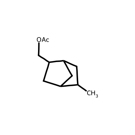 CC(=O)OCC1CC2CC1CC2C